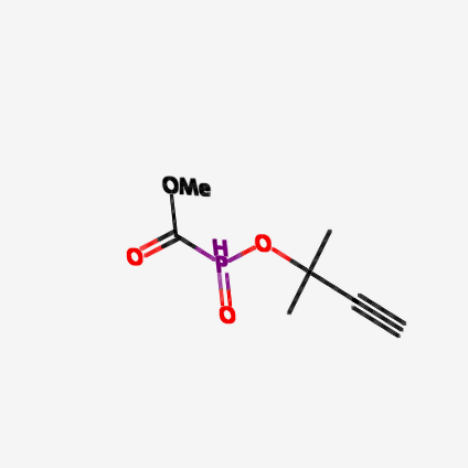 C#CC(C)(C)O[PH](=O)C(=O)OC